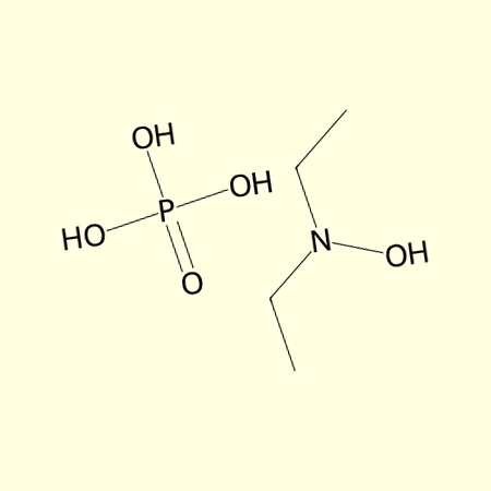 CCN(O)CC.O=P(O)(O)O